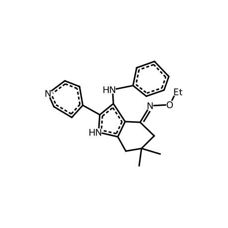 CCON=C1CC(C)(C)Cc2[nH]c(-c3ccncc3)c(Nc3ccccc3)c21